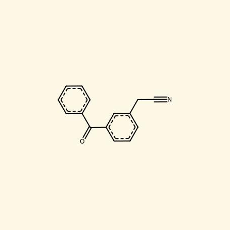 N#CCc1cccc(C(=O)c2ccccc2)c1